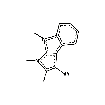 Cc1c(C(C)C)c2c3ccccc3n(C)c2n1C